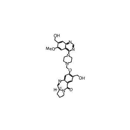 COc1cc2c(N3CCN(COc4cc5c(cc4CO)C(=O)N4CCC[C@H]4C=N5)CC3)ncnc2cc1CO